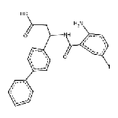 Nc1ccc(I)cc1C(=O)NC(CC(=O)O)c1ccc(-c2ccccc2)cc1